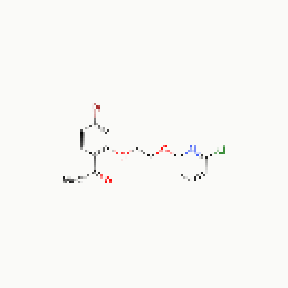 COC(=O)c1ccc(Br)cc1OCCOc1cccc(Cl)n1